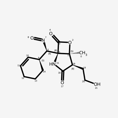 C[C@@]12OC(=O)[C@]1([C@H](N=O)[C@@H]1C=CCCC1)NC(=O)[C@@H]2CCO